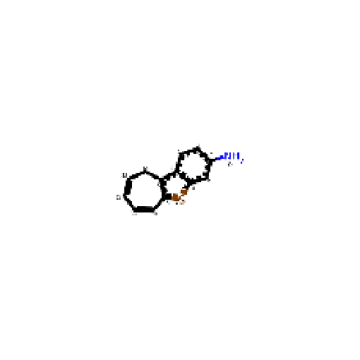 Nc1ccc2c3c(sc2c1)C=CC=CC3